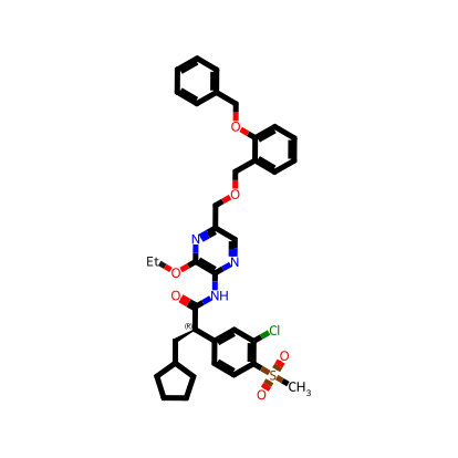 CCOc1nc(COCc2ccccc2OCc2ccccc2)cnc1NC(=O)[C@H](CC1CCCC1)c1ccc(S(C)(=O)=O)c(Cl)c1